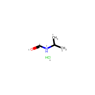 CC(C)NC=O.Cl